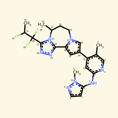 Cc1cnc(Nc2ccnn2C)cc1-c1cc2n(c1)CCC(C)n1c-2nnc1C(F)(F)C(C)F